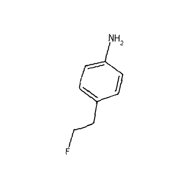 Nc1ccc(CCF)cc1